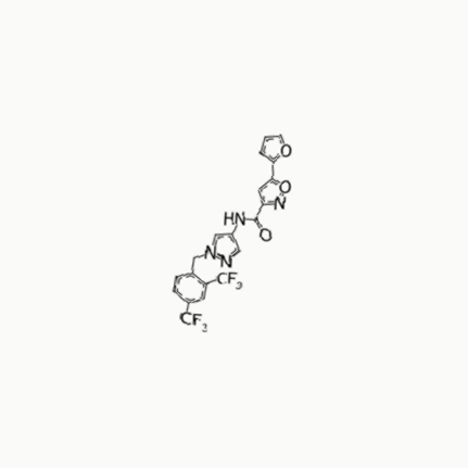 O=C(Nc1cnn(Cc2ccc(C(F)(F)F)cc2C(F)(F)F)c1)c1cc(-c2ccco2)on1